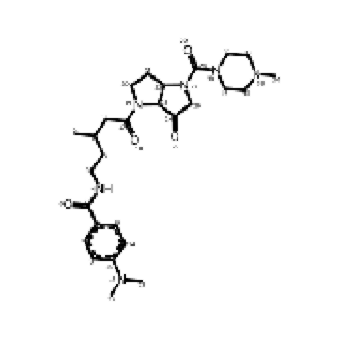 CC(CCNC(=O)c1ccc(N(C)C)cc1)CC(=O)N1CCC2C1C(=O)CN2C(=O)N1CCN(C)CC1